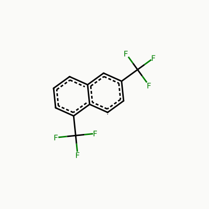 FC(F)(F)c1c[c]c2c(C(F)(F)F)cccc2c1